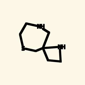 C1CSCC2(CCN2)CN1